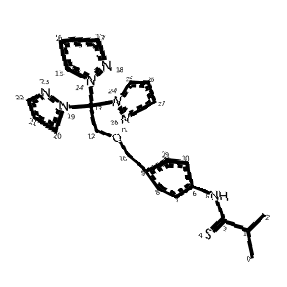 CC(C)C(=S)Nc1ccc(COCC(n2cccn2)(n2cccn2)n2cccn2)cc1